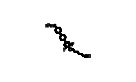 CCCCCC1CCC(C2CCC(c3cc(F)c(OCCCCCCO)c(F)c3)CC2)CC1